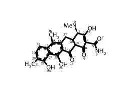 CN[C@H]1C(O)=C(C(N)=O)C(=O)C2C(=O)c3c(c(C)c4ccc(C)c(O)c4c3O)CC21